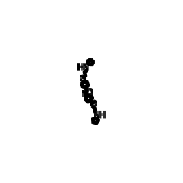 c1cc(-c2nc3ccc(OCCCNC4CCCC4)cc3o2)ccc1OCCCNC1CCCC1